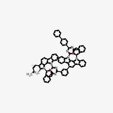 C=C/C=C\c1c(C)n(-c2ccccc2)c2c1ccc1c3ccccc3n(-c3nc(-c4ccccc4)nc(-c4cccc(-c5cc6c7ccccc7n(-c7ccccc7)c6c6c5c5ccccc5n6-c5nc(-c6ccccc6)nc(-c6ccc(-c7ccccc7)cc6)n5)c4)n3)c12